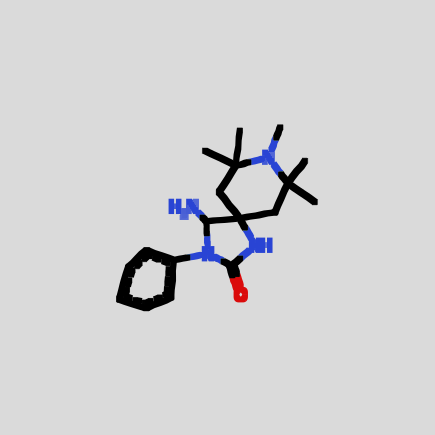 CN1C(C)(C)CC2(CC1(C)C)NC(=O)N(c1ccccc1)C2N